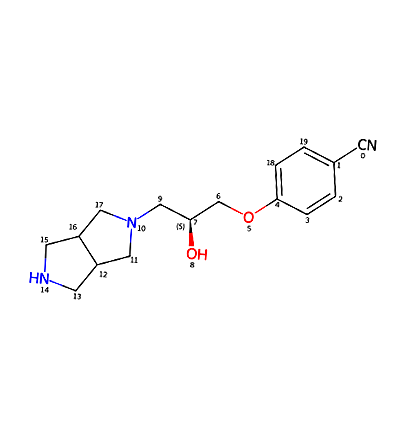 N#Cc1ccc(OC[C@@H](O)CN2CC3CNCC3C2)cc1